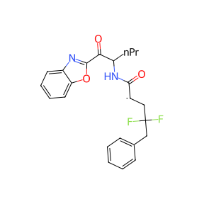 CCCC(NC(=O)[CH]CC(F)(F)Cc1ccccc1)C(=O)c1nc2ccccc2o1